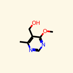 COc1ncnc(C)c1CO